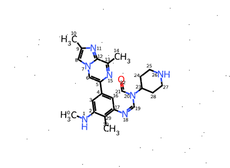 CNc1cc(-c2cn3cc(C)nc3c(C)n2)cc(/N=C\N(C=O)C2CCNCC2)c1C